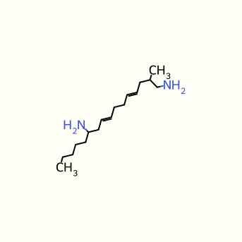 CCCCCC(N)CC=CCCC=CCC(C)CN